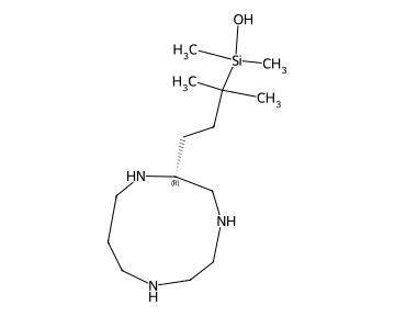 CC(C)(CC[C@@H]1CNCCNCCCN1)[Si](C)(C)O